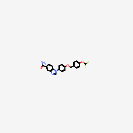 NC(=O)c1ccc2c(c1)ncn2-c1ccc(OCc2ccc(OC(F)F)cc2)cc1